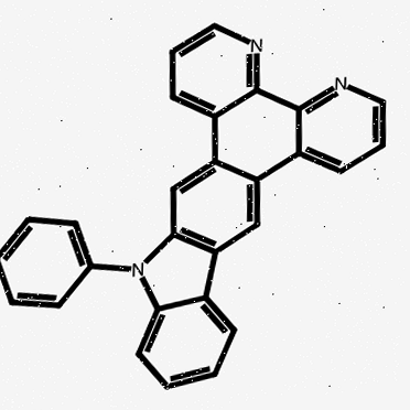 c1ccc(-n2c3ccccc3c3cc4c(cc32)c2cccnc2c2ncccc42)cc1